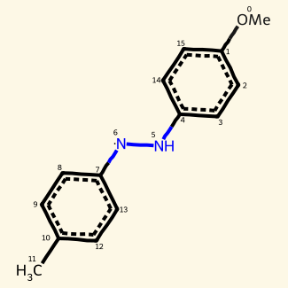 COc1ccc(N[N]c2ccc(C)cc2)cc1